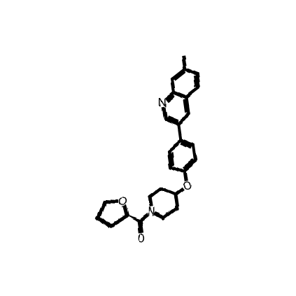 Cc1ccc2cc(-c3ccc(OC4CCN(C(=O)[C@H]5CCCO5)CC4)cc3)cnc2c1